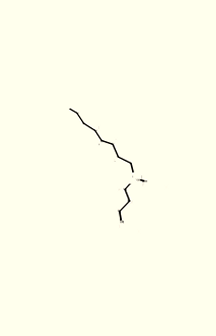 CCCCCCCCN(C)CCCC